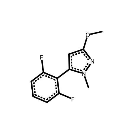 COc1cc(-c2c(F)cccc2F)n(C)n1